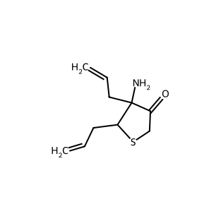 C=CCC1SCC(=O)C1(N)CC=C